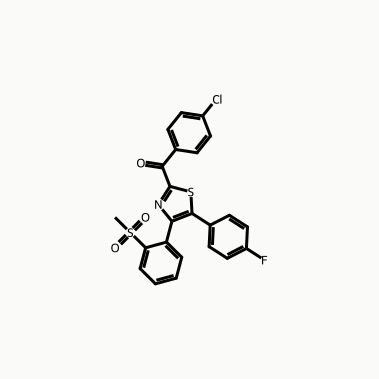 CS(=O)(=O)c1ccccc1-c1nc(C(=O)c2ccc(Cl)cc2)sc1-c1ccc(F)cc1